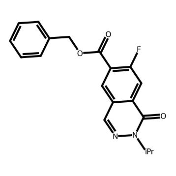 CC(C)n1ncc2cc(C(=O)OCc3ccccc3)c(F)cc2c1=O